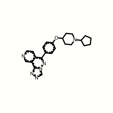 c1cc2c(-c3ccc(OC4CCN(C5CCCC5)CC4)cc3)nn3cnnc3c2cn1